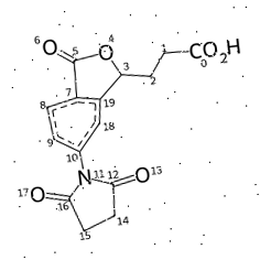 O=C(O)CCC1OC(=O)c2ccc(N3C(=O)CCC3=O)cc21